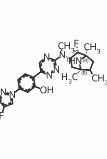 CC1C[C@@]2(C)N[C@]1(C)C[C@H](N(C)c1ncc(-c3ccc(-n4cc(F)cn4)cc3O)nn1)[C@@H]2F